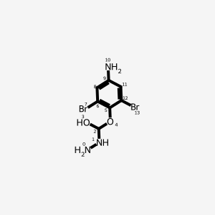 NNC(O)Oc1c(Br)cc(N)cc1Br